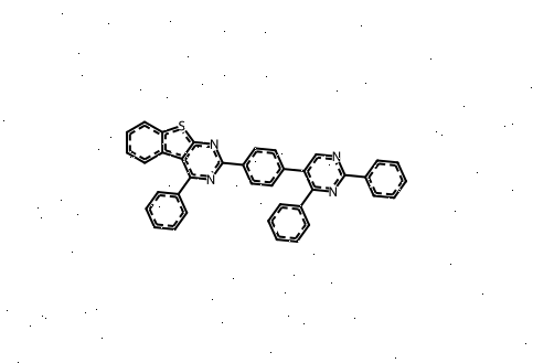 c1ccc(-c2ncc(-c3ccc(-c4nc(-c5ccccc5)c5c(n4)sc4ccccc45)cc3)c(-c3ccccc3)n2)cc1